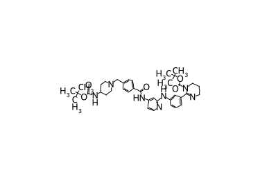 CC(C)(C)OC(=O)NC1CCN(Cc2ccc(C(=O)Nc3ccnc(Nc4cccc(C5=NCCCN5C(=O)OC(C)(C)C)c4)c3)cc2)CC1